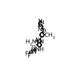 Cc1cc(-c2nc(N)c3cc(NC4=NC5(CO4)CC(F)(F)C5)ccc3n2)ccc1Oc1cc2nncn2cn1